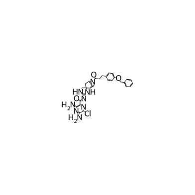 Nc1nc(N)c(C(=O)/N=C2\NCC3(CC4CC3=CN4C(=O)CCc3ccc(OCc4ccccc4)cc3)N2)nc1Cl